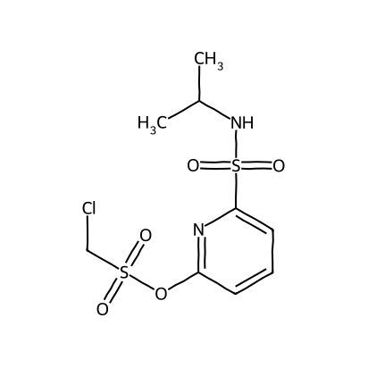 CC(C)NS(=O)(=O)c1cccc(OS(=O)(=O)CCl)n1